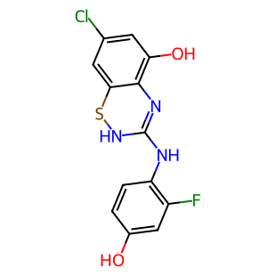 Oc1ccc(NC2=Nc3c(O)cc(Cl)cc3SN2)c(F)c1